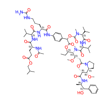 CC[C@H](C)[C@@H]([C@H](CC(=O)N1CCC[C@H]1[C@H](OC)[C@@H](C)C(=O)N[C@H](C)[C@@H](O)c1ccccc1)OC)N(C)C(=O)[C@@H](NC(=O)[C@H](C(C)C)N(C)C(=O)OC(C(=O)OC)c1ccc(NC(=O)[C@H](CCCNC(N)=O)NC(=O)[C@@H](NC(=O)[C@H](CCC(=O)OCC(C)C)NC(C)=O)C(C)C)cc1)C(C)C